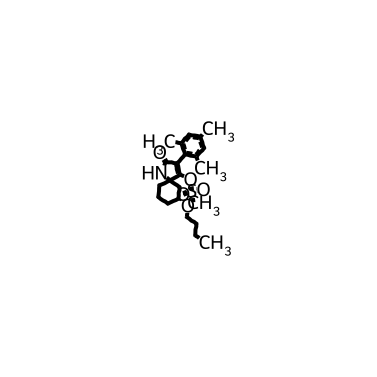 CCCCO[C@@H]1CCCC2(C1)NC(=O)C(c1c(C)cc(C)cc1C)=C2OS(C)(=O)=O